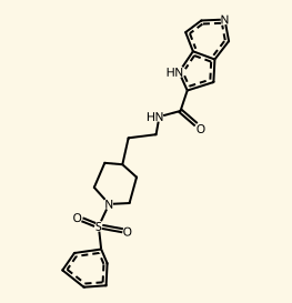 O=C(NCCC1CCN(S(=O)(=O)c2ccccc2)CC1)c1cc2cnccc2[nH]1